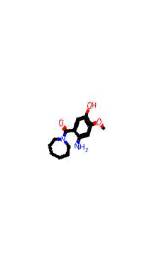 COc1cc(N)c(C(=O)N2CCCCCC2)cc1O